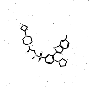 Cc1ccc2cc(-c3cc(S(=O)(=O)N(C)CC(=O)N4CCN(C5COC5)CC4)ccc3N3CCCC3)[nH]c2c1